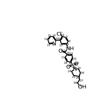 O=C(Nc1ccc(Cl)c(-c2ccccn2)c1)c1ccc(S(=O)(=O)N2CCC(CCO)CC2)cc1